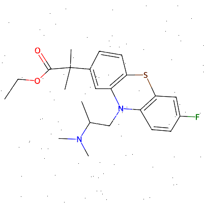 CCOC(=O)C(C)(C)c1ccc2c(c1)N(CC(C)N(C)C)c1ccc(F)cc1S2